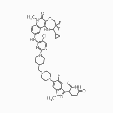 Cn1nc(C2CCC(=O)NC2=O)c2cc(F)c(N3CCN(CC4CCN(c5ncc(Cl)c(Nc6ccc7c(c6)c6c(c(=O)n7C)OCC(F)(F)C(C7CC7)N6)n5)CC4)CC3)cc21